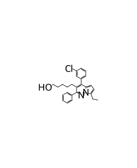 CCc1ccc2c(-c3cccc(Cl)c3)c(CCCCCO)c(-c3ccccc3)nn12